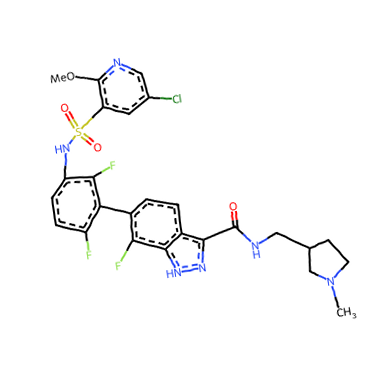 COc1ncc(Cl)cc1S(=O)(=O)Nc1ccc(F)c(-c2ccc3c(C(=O)NCC4CCN(C)C4)n[nH]c3c2F)c1F